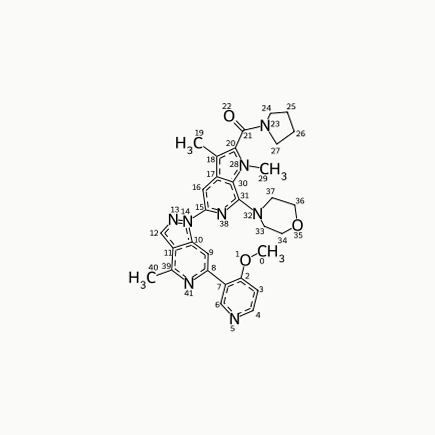 COc1ccncc1-c1cc2c(cnn2-c2cc3c(C)c(C(=O)N4CCCC4)n(C)c3c(N3CCOCC3)n2)c(C)n1